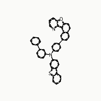 c1ccc(-c2cccc(N(c3ccc(-c4ccc5ccc6oc7cccnc7c6c5c4)cc3)c3ccc4c(c3)sc3ccccc34)c2)cc1